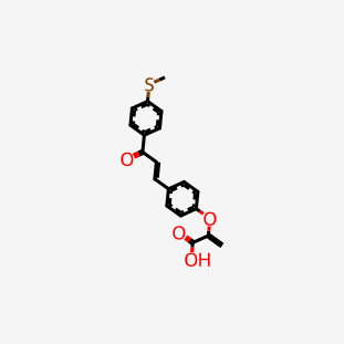 C=C(Oc1ccc(/C=C/C(=O)c2ccc(SC)cc2)cc1)C(=O)O